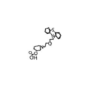 O=C(O)O[C@@H]1CCCN(CCOCCN2c3ccccc3Sc3ccccc32)C1